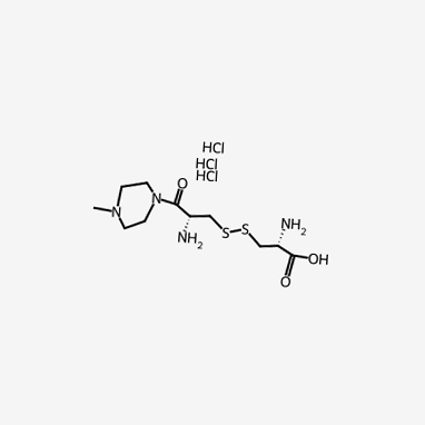 CN1CCN(C(=O)[C@@H](N)CSSC[C@H](N)C(=O)O)CC1.Cl.Cl.Cl